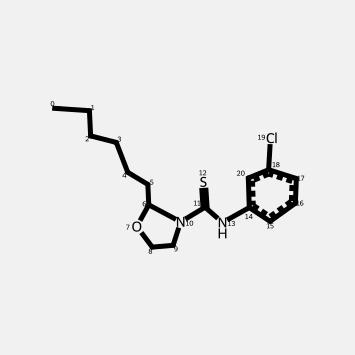 CCCCCCC1OCCN1C(=S)Nc1cccc(Cl)c1